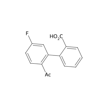 CC(=O)c1ccc(F)cc1-c1ccccc1C(=O)O